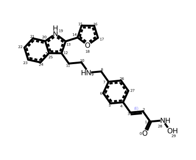 O=C(/C=C/c1ccc(CNCCc2c(-c3ccco3)[nH]c3ccccc23)cc1)NO